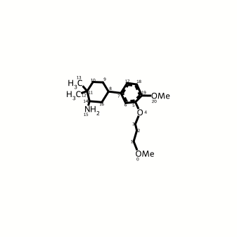 COCCCOc1cc(C2CCC(C)(C)C(N)C2)ccc1OC